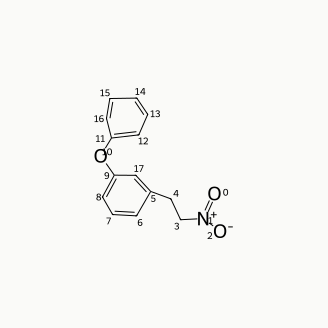 O=[N+]([O-])CCc1cccc(Oc2ccccc2)c1